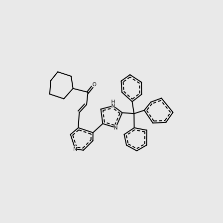 O=C(C=Cc1cnccc1-c1c[nH]c(C(c2ccccc2)(c2ccccc2)c2ccccc2)n1)C1CCCCC1